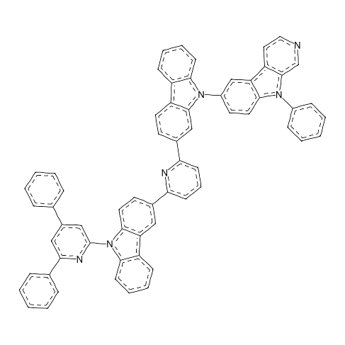 c1ccc(-c2cc(-c3ccccc3)nc(-n3c4ccccc4c4cc(-c5cccc(-c6ccc7c8ccccc8n(-c8ccc9c(c8)c8ccncc8n9-c8ccccc8)c7c6)n5)ccc43)c2)cc1